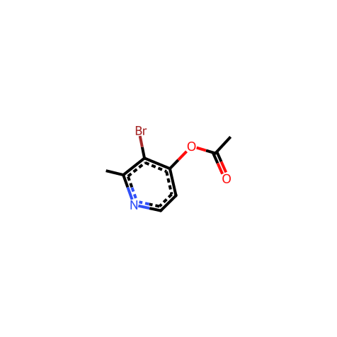 CC(=O)Oc1ccnc(C)c1Br